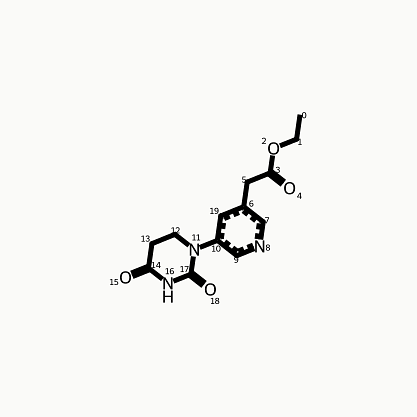 CCOC(=O)Cc1cncc(N2CCC(=O)NC2=O)c1